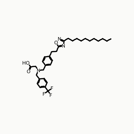 CCCCCCCCCCCc1noc(CCc2ccc(CN(CC(=O)O)Cc3ccc(C(F)(F)F)cc3)cc2)n1